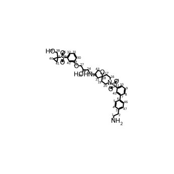 NCCc1ccc(-c2cccc(S(=O)(=O)N3CCC4(CC3)C[C@@H](NC[C@H](O)COc3cccc(S(=O)(=O)C5(CO)CC5)c3)CO4)c2)cc1